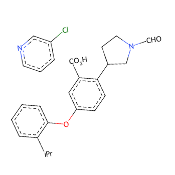 CC(C)c1ccccc1Oc1ccc(C2CCN(C=O)C2)c(C(=O)O)c1.Clc1cccnc1